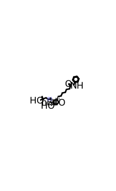 CCCCC(C)(O)C/C=C/[C@H]1[C@H](O)CC(=O)[C@@H]1CCCCCCC(=O)Nc1ccccc1